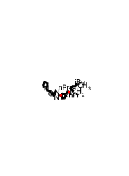 C=C(/C(=C\C=C(\C)C(C)CC)CCC)N(CCC)Cc1cccc(-c2ncc(OCCN3CCCCC3)cn2)c1